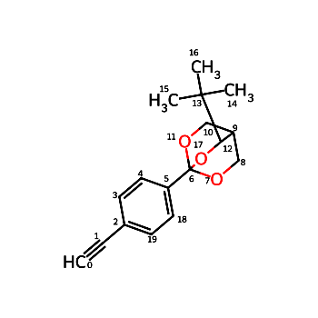 C#Cc1ccc(C23OCC(CO2)C(C(C)(C)C)O3)cc1